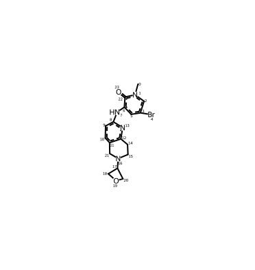 Cn1cc(Br)cc(Nc2ccc3c(n2)CCN(C2COC2)C3)c1=O